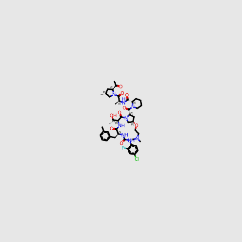 CC(=O)[C@@H]1C[C@@H](C)CN1C(=O)[C@H](C)NC(=O)[C@@H]1CCCCN1C(=O)[C@@H]1C[C@@H](OCCN(C)C)CN1C(=O)[C@@H](NC(=O)[C@H](Cc1cccc(C)c1)NC(=O)Nc1ccc(Cl)cc1F)[C@H](C)O